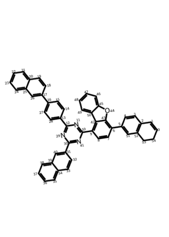 C1=Cc2ccc(-c3ccc(-c4nc(-c5ccc(-c6ccc7ccccc7c6)cc5)nc(-c5ccc6ccccc6c5)n4)c4c3oc3ccccc34)cc2CC1